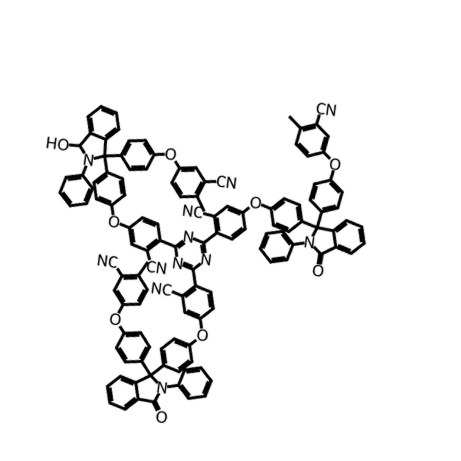 Cc1ccc(Oc2ccc(C3(c4ccc(Oc5ccc(-c6nc(-c7ccc(Oc8ccc(C9(c%10ccc(Oc%11ccc(C)c(C#N)c%11)cc%10)c%10ccccc%10C(=O)N9c9ccccc9)cc8)cc7C#N)nc(-c7ccc(Oc8ccc(C9(c%10ccc(Oc%11ccc(C)c(C#N)c%11)cc%10)c%10ccccc%10C(O)N9c9ccccc9)cc8)cc7C#N)n6)c(C#N)c5)cc4)c4ccccc4C(=O)N3c3ccccc3)cc2)cc1C#N